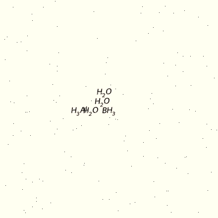 B.O.O.O.[AlH3]